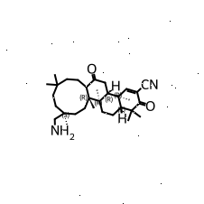 CC1(C)CCC2C(=O)C[C@@H]3[C@@]4(C)C=C(C#N)C(=O)C(C)(C)[C@@H]4CC[C@@]3(C)[C@]2(C)CC[C@@](C)(CN)CC1